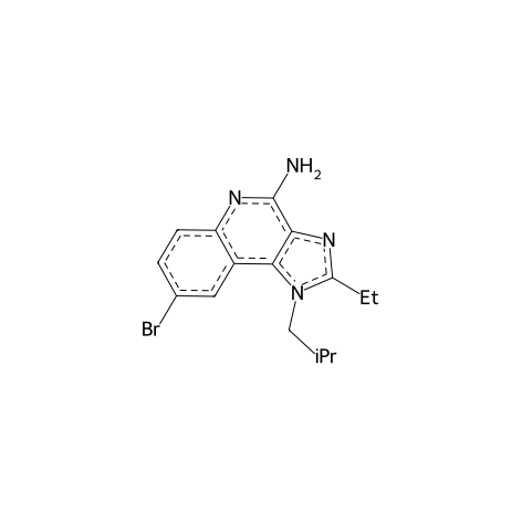 CCc1nc2c(N)nc3ccc(Br)cc3c2n1CC(C)C